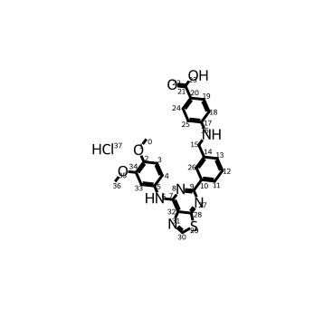 COc1ccc(Nc2nc(-c3cccc(CNc4ccc(C(=O)O)cc4)c3)nc3scnc23)cc1OC.Cl